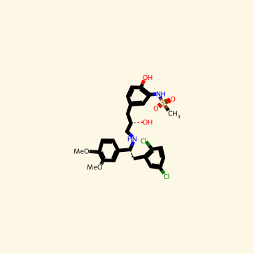 COc1ccc([C@@H](Cc2cc(Cl)ccc2Cl)NC[C@@H](O)Cc2ccc(O)c(NS(C)(=O)=O)c2)cc1OC